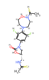 CC(=S)NC[C@H]1CN(c2cc(F)c(N3CCON(C(C)=S)CC3)c(F)c2)C(=O)O1